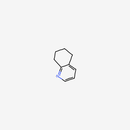 C1=C[N+]=C2CCCCC2=C1